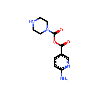 Nc1ccc(C(=O)OC(=O)N2CCNCC2)cn1